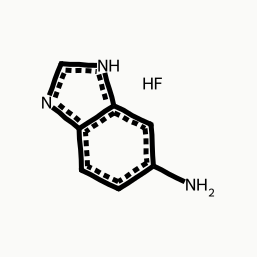 F.Nc1ccc2nc[nH]c2c1